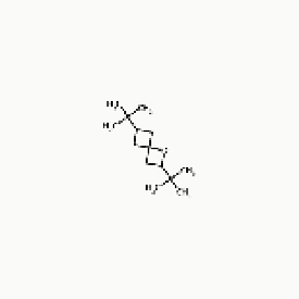 CC(C)(C)C1CC2(C1)CC(C(C)(C)C)O2